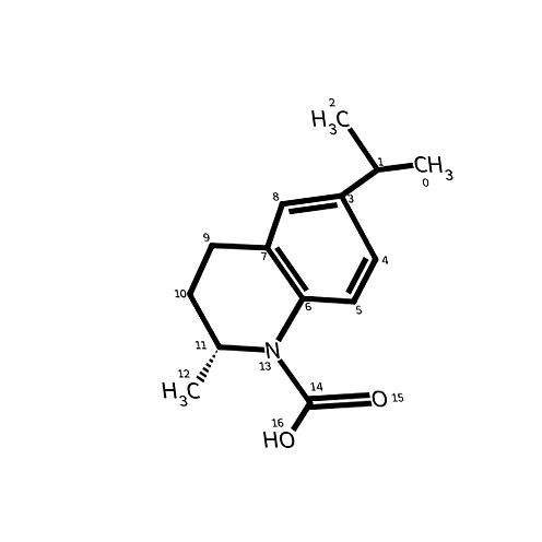 CC(C)c1ccc2c(c1)CC[C@@H](C)N2C(=O)O